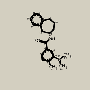 Cc1ccc(C(=O)N[C@H]2CCCc3ccccc3C2)cc1N(C)C